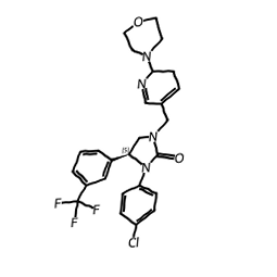 O=C1N(CC2=CCC(N3CCOCC3)N=C2)C[C@H](c2cccc(C(F)(F)F)c2)N1c1ccc(Cl)cc1